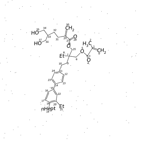 C=C(C)C(=O)OCC(CC)(CCc1ccc(-c2ccc(CCCCCCC)c(CC)c2)cc1)COC(=O)C(=C)CCC(CO)CO